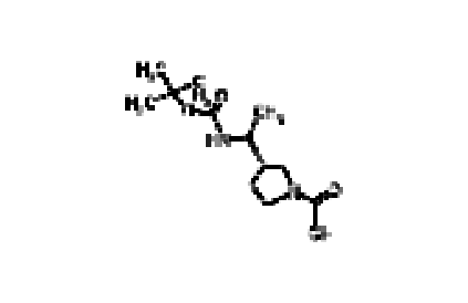 CC(NC(=O)OC(C)(C)C)[C@@H]1CCN(C(=O)O)C1